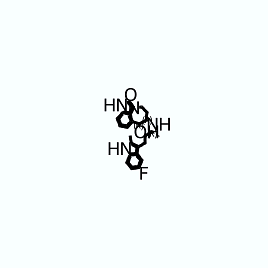 Cc1[nH]c2ccc(F)cc2c1CC[C@@H](C)N[C@@H]1CCn2c(=O)[nH]c3cccc(c32)[C@H]1O